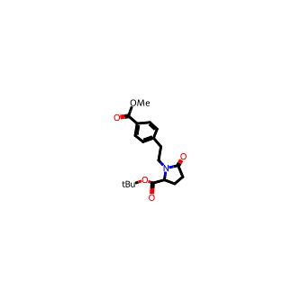 COC(=O)c1ccc(CCN2C(=O)CCC2C(=O)OC(C)(C)C)cc1